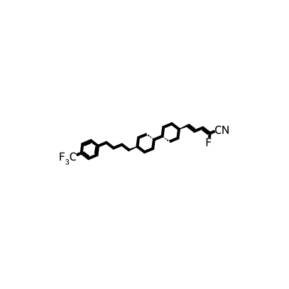 N#CC(F)=CC=C[C@H]1CC[C@H]([C@H]2CC[C@H](CCCCc3ccc(C(F)(F)F)cc3)CC2)CC1